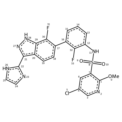 COc1ncc(Cl)cc1S(=O)(=O)Nc1cccc(-c2ccc3c(-c4ncc[nH]4)n[nH]c3c2F)c1F